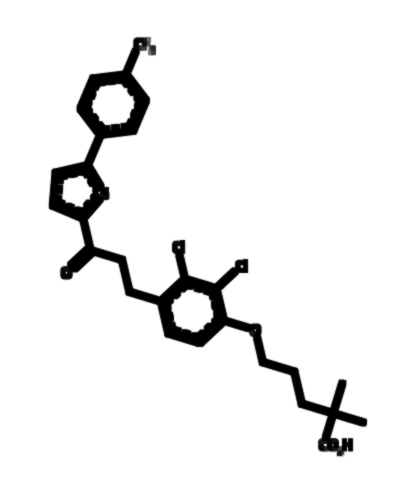 CC(C)(CCCOc1ccc(CCC(=O)c2ccc(-c3ccc(C(F)(F)F)cc3)s2)c(Cl)c1Cl)C(=O)O